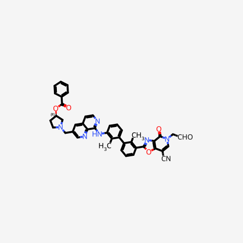 Cc1c(Nc2nccc3cc(CN4CC[C@@H](OC(=O)c5ccccc5)C4)cnc23)cccc1-c1cccc(-c2nc3c(=O)n(CC=O)cc(C#N)c3o2)c1C